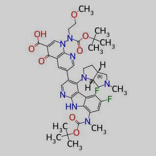 COCCN(C(=O)OC(C)(C)C)n1cc(C(=O)O)c(=O)c2cc(-c3cnc4[nH]c5c(N(C)C(=O)OC(C)(C)C)cc(F)c(F)c5c4c3N3CC[C@@H]4CN(C)C[C@@H]43)cnc21